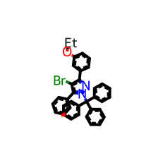 CCOc1cccc(-c2nn(C(c3ccccc3)(c3ccccc3)c3ccccc3)c(-c3ccccc3)c2Br)c1